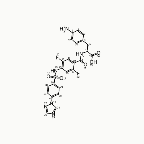 Nc1ccc(C[C@H](NC(=O)c2cc(F)c(NS(=O)(=O)c3ccc(-n4cncn4)cc3)cc2F)C(=O)O)cc1